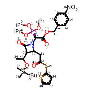 CC(C)OP(OC(C)C)(OC(C)C)=C(C(=O)OCc1ccc([N+](=O)[O-])cc1)N1C(=O)C(C(C)O[Si](C)(C)C(C)(C)C)C1CC(=O)Sc1cccs1